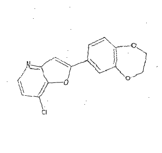 Clc1ccnc2cc(-c3ccc4c(c3)OCCO4)oc12